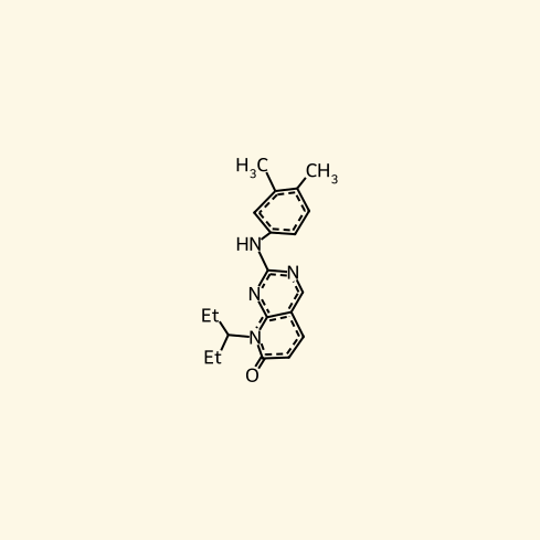 CCC(CC)n1c(=O)ccc2cnc(Nc3ccc(C)c(C)c3)nc21